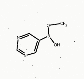 OB(OC(F)(F)F)c1cncnc1